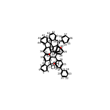 CC1(C)c2ccccc2-c2cccc(C(c3ccc(-c4ccccc4)cc3)c3ccccc3-c3cccc4c3C3(c5ccccc5-4)c4ccccc4N(c4ccccc4)c4ccccc43)c21